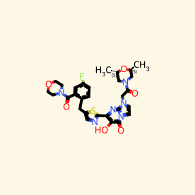 C[C@H]1CN(C(=O)Cn2ccn3c(=O)c(O)c(-c4ncc(Cc5ccc(F)cc5C(=O)N5CCOCC5)s4)nc23)C[C@H](C)O1